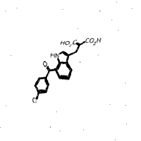 O=C(c1ccc(Cl)cc1)c1cccc2c(CC(C(=O)O)C(=O)O)c[nH]c12